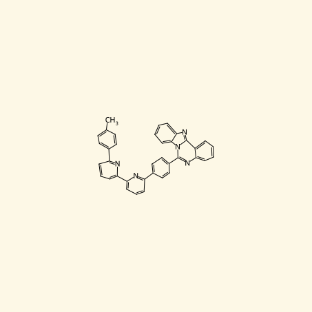 Cc1ccc(-c2cccc(-c3cccc(-c4ccc(-c5nc6ccccc6c6nc7ccccc7n56)cc4)n3)n2)cc1